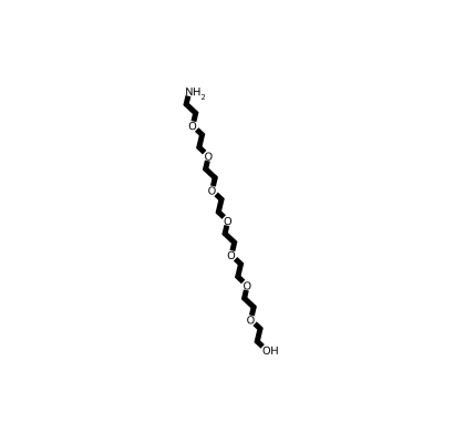 NCCOCCOCCOCCOCCOCCOCCOCCO